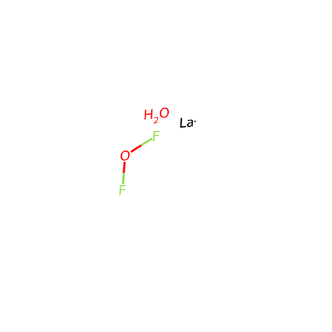 FOF.O.[La]